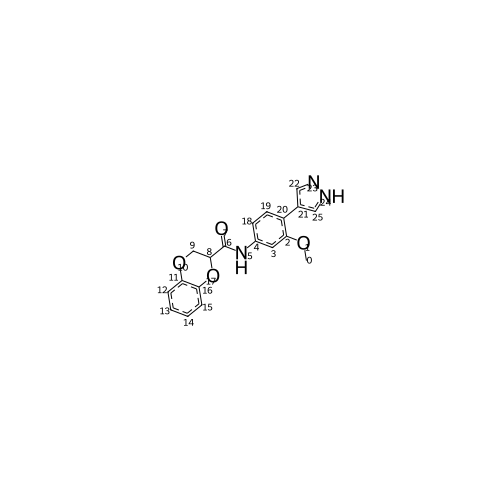 COc1cc(NC(=O)C2COc3ccccc3O2)ccc1-c1cn[nH]c1